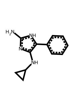 Nc1nc(NC2CC2)c(-c2ccccc2)[nH]1